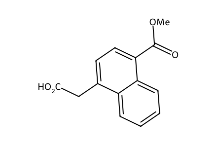 COC(=O)c1ccc(CC(=O)O)c2ccccc12